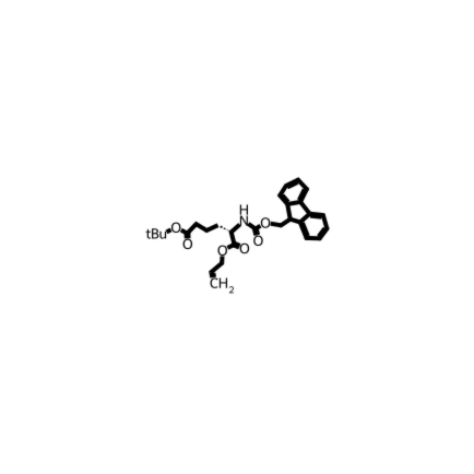 C=CCOC(=O)[C@H](CCCC(=O)OC(C)(C)C)NC(=O)OCC1c2ccccc2-c2ccccc21